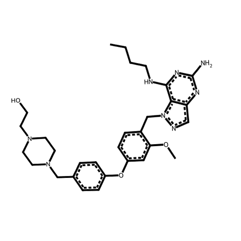 CCCCNc1nc(N)nc2cnn(Cc3ccc(Oc4ccc(CN5CCN(CCO)CC5)cc4)cc3OC)c12